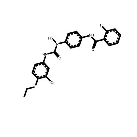 CCOc1ccc(NC(=O)N(S)c2ccc(NC(=O)c3ccccc3F)cc2)cc1Cl